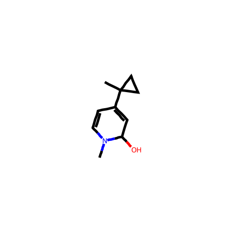 CN1C=CC(C2(C)CC2)=CC1O